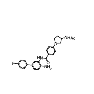 CC(=O)NC1CCN(c2ccc(C(=O)Nc3cc(-c4ccc(F)cc4)ccc3N)cc2)C1